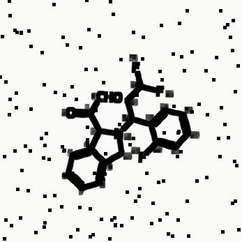 O=CC(=O)C1c2ccccc2CN1C(CC(F)F)c1ccccc1F